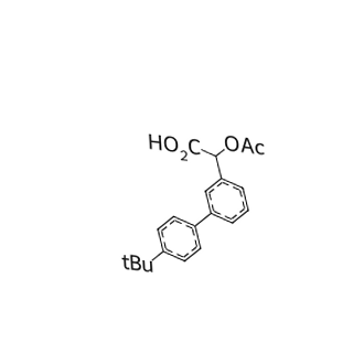 CC(=O)OC(C(=O)O)c1cccc(-c2ccc(C(C)(C)C)cc2)c1